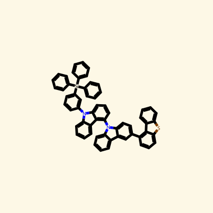 c1ccc([Si](c2ccccc2)(c2ccccc2)c2cccc(-n3c4ccccc4c4c(-n5c6ccccc6c6cc(-c7cccc8sc9ccccc9c78)ccc65)cccc43)c2)cc1